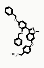 Cn1nc(-c2ccc(OCc3ccccc3)nc2OCc2ccccc2)c2ccc(Oc3ccc(CC(=O)O)cc3)cc21